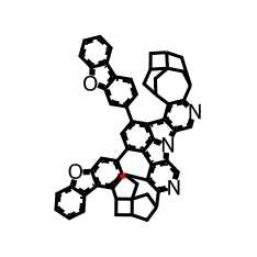 c1ccc2c(c1)oc1cc(-c3cc(-c4ccc5c(c4)oc4ccccc45)c4c5c6c(ncc5n5c7cnc8c(c7c3c45)C3CC4CC5CC8CC54C3)C3CC4CC5CC6CC45C3)ccc12